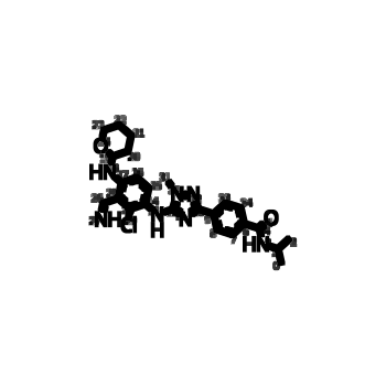 CC(C)NC(=O)c1ccc(-c2nc(Nc3ccc(NC4CCCCO4)c(C=N)c3Cl)n(C)n2)cc1